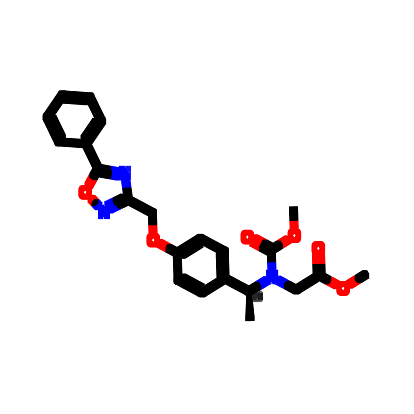 COC(=O)CN(C(=O)OC)[C@@H](C)c1ccc(OCc2noc(-c3ccccc3)n2)cc1